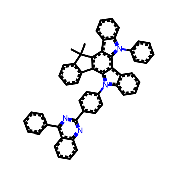 CC1(C)c2ccccc2-c2c1c1c3ccccc3n(-c3ccccc3)c1c1c3ccccc3n(-c3ccc(-c4nc(-c5ccccc5)c5ccccc5n4)cc3)c21